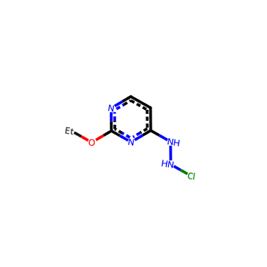 CCOc1nccc(NNCl)n1